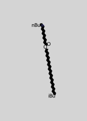 CCCC/C=C\CCCCCCCC(=O)OCCCCCCCCCCCCCCCCCCCCCC(C)CC